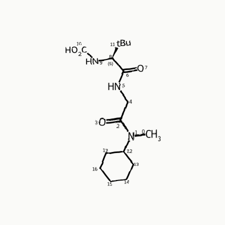 CN(C(=O)CNC(=O)[C@@H](NC(=O)O)C(C)(C)C)C1CCCCC1